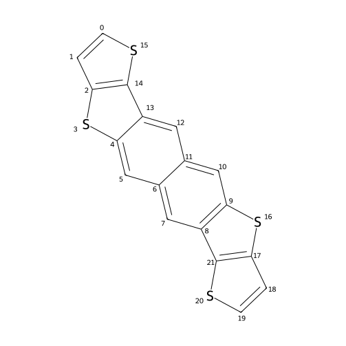 c1cc2sc3cc4cc5c(cc4cc3c2s1)sc1ccsc15